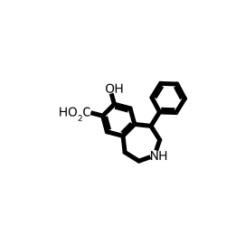 O=C(O)c1cc2c(cc1O)C(c1ccccc1)CNCC2